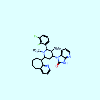 CN[C@H]1C(n2c(=O)[nH]c3ncccc32)CC(C2CCCCc3cccnc32)N(C(=O)O)[C@H]1c1cccc(F)c1F